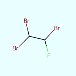 FC(Br)C(Br)Br